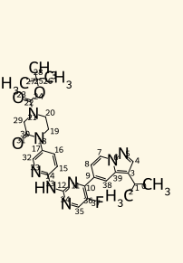 CC(C)c1cnn2ccc(-c3nc(Nc4ccc(N5CCN(C(=O)OC(C)(C)C)CC5=O)cn4)ncc3F)cc12